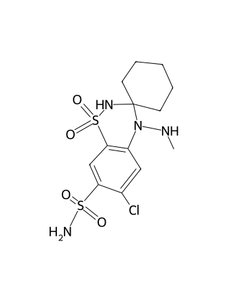 CNN1c2cc(Cl)c(S(N)(=O)=O)cc2S(=O)(=O)NC12CCCCC2